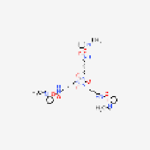 CC1CN1C1CCCCC1OC(=O)NCCCCCCn1c(=O)n(CCCCCCNC(=O)OC2CCCCC2N2CC2C)c(=O)n(CCCCCCNC(=O)OC2CCCCC2N2CC2C)c1=O